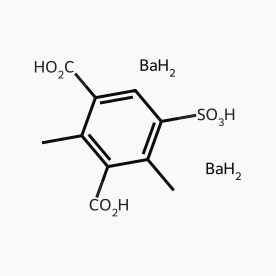 Cc1c(C(=O)O)cc(S(=O)(=O)O)c(C)c1C(=O)O.[BaH2].[BaH2]